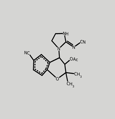 CC(=O)OC1C(N2CCN/C2=N\C#N)c2cc(C#N)ccc2OC1(C)C